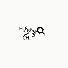 CCCN(C)N=[N+]([O-])c1cccc(I)c1